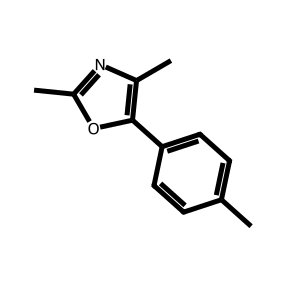 Cc1ccc(-c2oc(C)nc2C)cc1